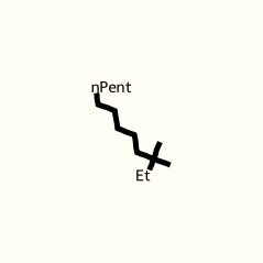 [CH2]CC(C)(C)CCCCCCCCCC